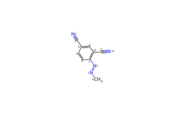 CN=Nc1ccc(C#N)cc1C#N